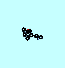 c1ccc(-n2c3ccccc3c3cccc([Si](c4ccccc4)(c4ccccc4)c4ccc(-c5ccc6c(c5)sc5ccccc56)cc4)c32)cc1